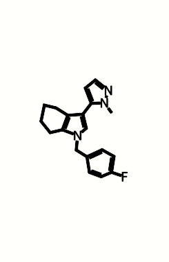 Cn1nccc1-c1cn(Cc2ccc(F)cc2)c2c1CCCC2